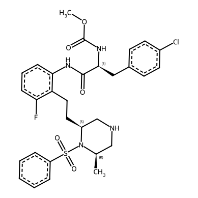 COC(=O)N[C@@H](Cc1ccc(Cl)cc1)C(=O)Nc1cccc(F)c1CC[C@H]1CNC[C@@H](C)N1S(=O)(=O)c1ccccc1